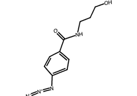 [N-]=[N+]=Nc1ccc(C(=O)NCCCO)cc1